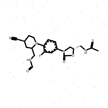 CC(=S)NC[C@H]1CN(c2ccc(N3CCC(C#N)CC3CNC=O)c(F)c2)C(=O)O1